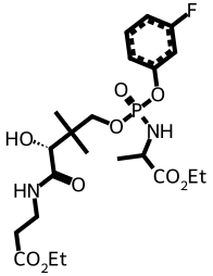 CCOC(=O)CCNC(=O)[C@H](O)C(C)(C)COP(=O)(NC(C)C(=O)OCC)Oc1cccc(F)c1